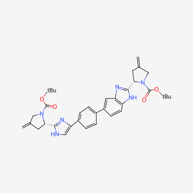 C=C1C[C@@H](c2nc(-c3ccc(-c4ccc5[nH]c([C@@H]6CC(=C)CN6C(=O)OC(C)(C)C)nc5c4)cc3)c[nH]2)N(C(=O)OC(C)(C)C)C1